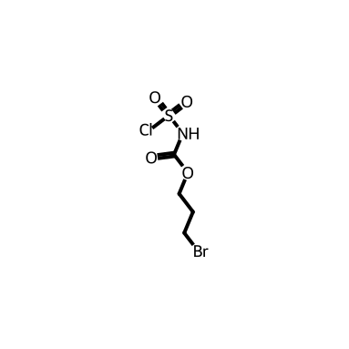 O=C(NS(=O)(=O)Cl)OCCCBr